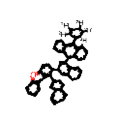 [2H]c1c([2H])c([2H])c(-c2c3ccccc3c(-c3cc(-c4ccc5oc6ccccc6c5c4-c4ccc5ccccc5c4)cc4ccccc34)c3ccccc23)c([2H])c1[2H]